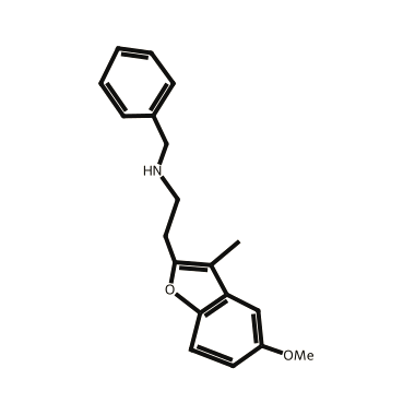 COc1ccc2oc(CCNCc3ccccc3)c(C)c2c1